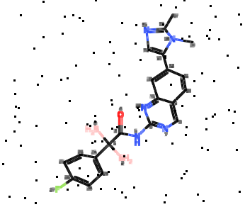 BC(B)(C(=O)Nc1ncc2ccc(-c3cnc(C)n3C)cc2n1)c1ccc(F)cc1